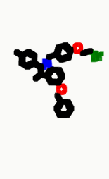 Cc1ccc(-c2c(C)c3cc(OCc4ccccc4)ccc3n2Cc2ccc(OCCBr)cc2)cc1